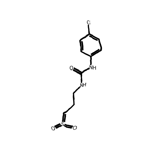 O=C(NCCC=S(=O)=O)Nc1ccc(Cl)cc1